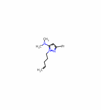 C=CCCCn1nc(C(C)C)cc1N(C)C